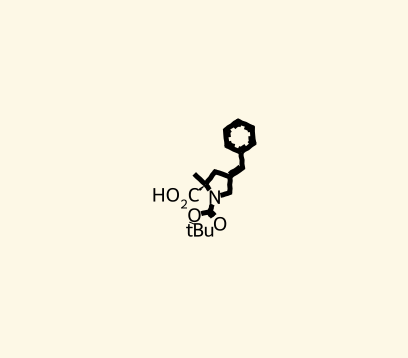 CC(C)(C)OC(=O)N1C/C(=C/c2ccccc2)C[C@@]1(C)C(=O)O